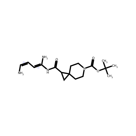 CC(C)(C)OC(=O)N1CCC2(CC1)CC2C(=O)N/C(N)=C/C=C\N